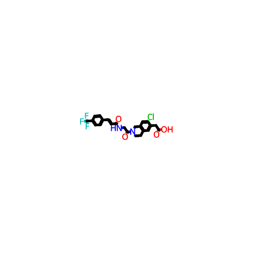 O=C(O)Cc1cc2c(cc1Cl)CN(C(=O)CNC(=O)/C=C/c1ccc(C(F)(F)F)cc1)CC2